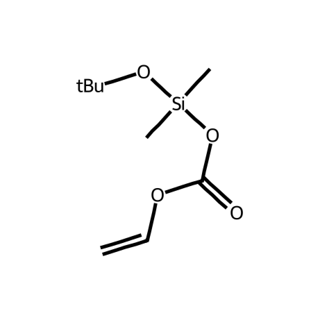 C=COC(=O)O[Si](C)(C)OC(C)(C)C